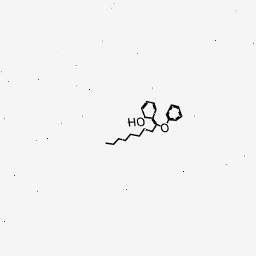 CCCCCCCCC(Oc1ccccc1)=C1C=CC=CC1O